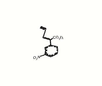 C=CC=C(C(=O)OCC)c1cccc([N+](=O)[O-])c1